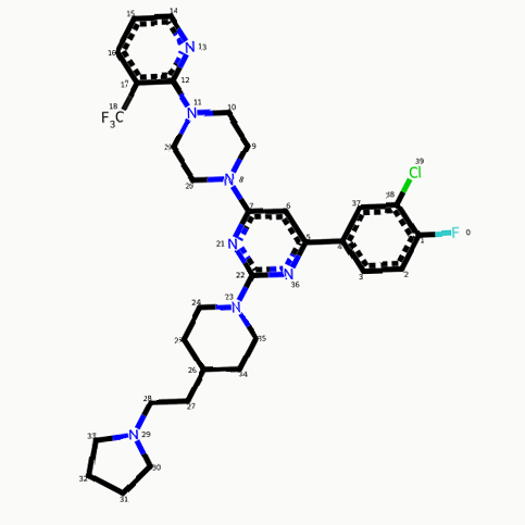 Fc1ccc(-c2cc(N3CCN(c4ncccc4C(F)(F)F)CC3)nc(N3CCC(CCN4CCCC4)CC3)n2)cc1Cl